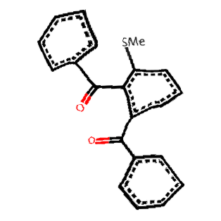 CSc1cccc(C(=O)c2ccccc2)c1C(=O)c1ccccc1